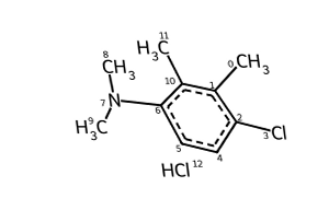 Cc1c(Cl)ccc(N(C)C)c1C.Cl